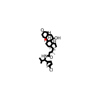 CC(C)C(NC(=O)C[C@@H](C)[C@H]1CC[C@H]2[C@@H]3[C@H](O)C[C@@H]4CC(=O)CC[C@]4(C)[C@H]3CC[C@]12C)c1ccc(Cl)s1